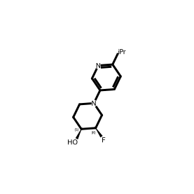 CC(C)c1ccc(N2CC[C@H](O)[C@H](F)C2)cn1